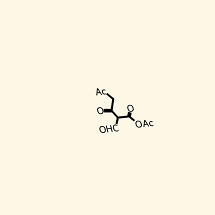 CC(=O)CC(=O)C(C=O)C(=O)OC(C)=O